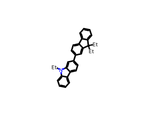 CCn1c2ccccc2c2ccc(-c3ccc4c(c3)C(CC)(CC)c3ccccc3-4)cc21